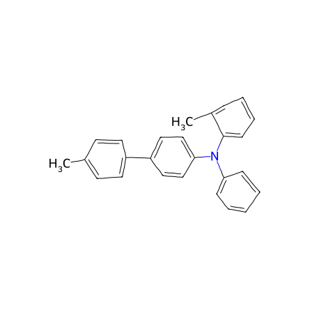 Cc1ccc(-c2ccc(N(c3ccccc3)c3ccccc3C)cc2)cc1